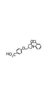 O=C(O)c1ccc(OCC2CC(=O)N(c3ccccc3Cl)C2)cc1